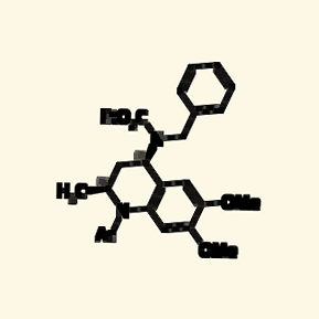 CCOC(=O)N(Cc1ccccc1)[C@@H]1C[C@H](C)N(C(C)=O)c2cc(OC)c(OC)cc21